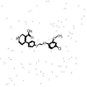 COc1cc(Cl)ccc1OCCOc1ccc(C2=C(C(=O)O)CNCC2)cc1